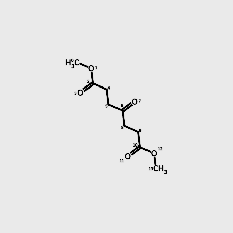 COC(=O)CCC(=O)CCC(=O)OC